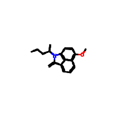 C=c1c2cccc3c(OC)ccc(c32)n1C(C)CCC